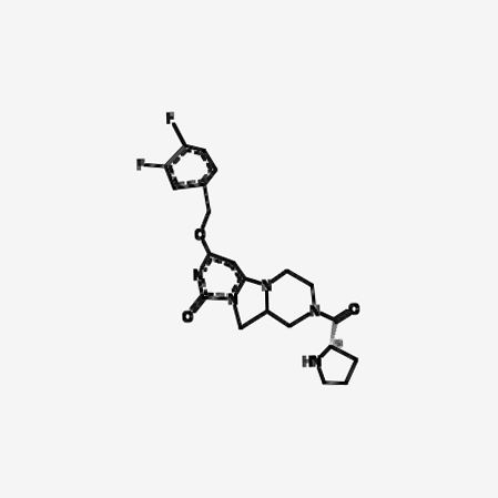 O=C([C@@H]1CCCN1)N1CCN2c3cc(OCc4ccc(F)c(F)c4)nc(=O)n3CC2C1